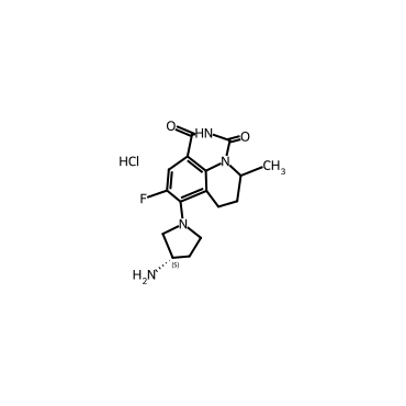 CC1CCc2c(N3CC[C@H](N)C3)c(F)cc3c(=O)[nH]c(=O)n1c23.Cl